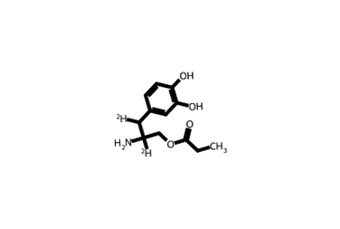 [2H]C(c1ccc(O)c(O)c1)C([2H])(N)COC(=O)CC